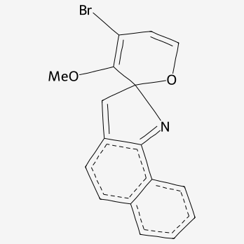 COC1=C(Br)C=COC12C=c1ccc3ccccc3c1=N2